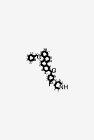 C1=CC=CNC=C1.O=C(c1ccc(F)cc1)C1C=c2c(ccc3c2=CCc2cccc(OCc4ccccc4)c2-3)CC1